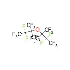 FC(F)(F)C(F)(F)C(OC(C(F)(F)F)(C(F)(F)F)C(F)(F)C(F)(F)F)(C(F)(F)F)C(F)(F)F